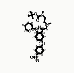 CN(CCN(C)C(=O)OC(C)(C)C)Cc1nn(C2CCCCO2)c2ccc(Oc3ccc([N+](=O)[O-])cc3)cc12